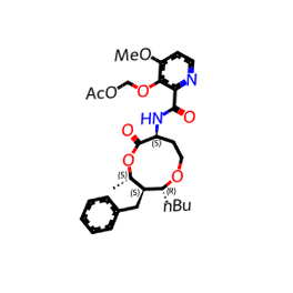 CCCC[C@H]1OCC[C@H](NC(=O)c2nccc(OC)c2OCOC(C)=O)C(=O)O[C@@H](C)[C@@H]1Cc1ccccc1